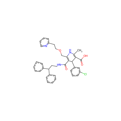 CC1=C(C(=O)O)C(c2cccc(Cl)c2)C(C(=O)NCCC(c2ccccc2)c2ccccc2)=C(COCCc2ccccn2)N1